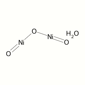 O.[O]=[Ni][O][Ni]=[O]